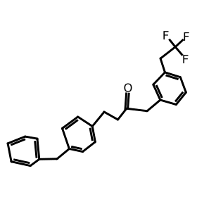 O=C(CCc1ccc(Cc2ccccc2)cc1)Cc1cccc(CC(F)(F)F)c1